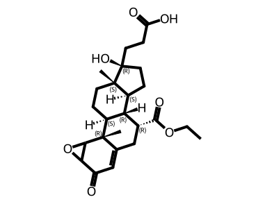 CCOC(=O)[C@@H]1CC2=CC(=O)C3OC3[C@]2(C)[C@H]2CC[C@@]3(C)[C@@H](CC[C@@]3(O)CCC(=O)O)[C@H]12